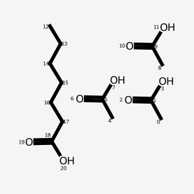 CC(=O)O.CC(=O)O.CC(=O)O.CCCCCCC(=O)O